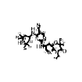 CCN1C(=O)C(F)(F)Oc2cc(Nc3ncc(C#N)c(NC4CC(C)(C)NC(C)(C)C4)n3)cnc21